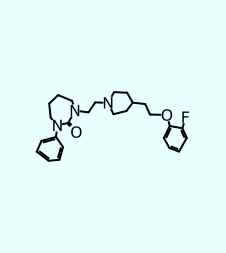 O=C1N(CCN2CCC(CCOc3ccccc3F)CC2)CCCCN1c1ccccc1